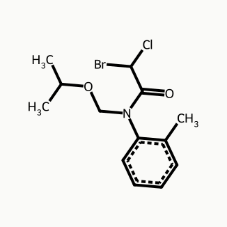 Cc1ccccc1N(COC(C)C)C(=O)C(Cl)Br